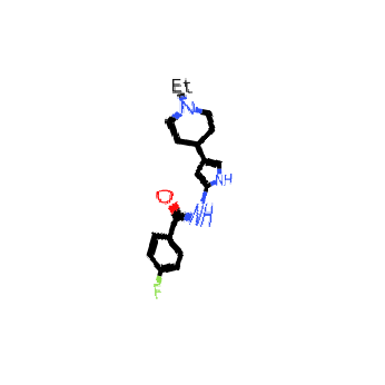 CCN1CCC(c2c[nH]c(NC(=O)c3ccc(F)cc3)c2)CC1